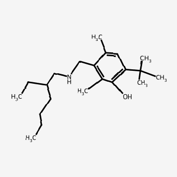 CCCCC(CC)CNCc1c(C)cc(C(C)(C)C)c(O)c1C